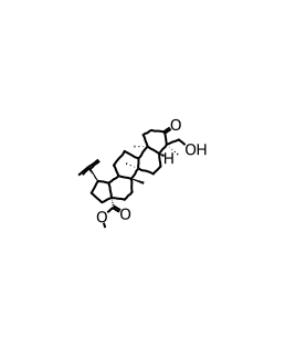 C=C(C)[C@@H]1CC[C@]2(C(=O)OC)CC[C@]3(C)C(CCC4[C@@]5(C)CCC(=O)[C@@](C)(CO)[C@@H]5CC[C@]43C)C12